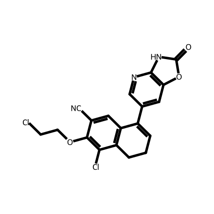 N#Cc1cc2c(c(Cl)c1OCCCl)CCC=C2c1cnc2[nH]c(=O)oc2c1